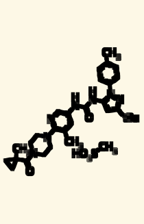 CS(=O)(=O)O.Cc1ccc(-n2nc(C(C)(C)C)cc2NC(=O)Nc2cnc(N3CCN(C(=O)C4(C)CC4)CC3)c(C)c2)cc1